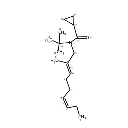 CC/C=C\CC/C=C(\C)CN(C(=O)C1CC1)C(C)(C)C